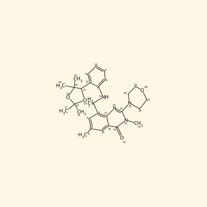 Cc1cc(C(C)Nc2ccccc2C2OC(C)(C)OC2(C)C)c2nc(N3CCOCC3)n(C)c(=O)c2c1